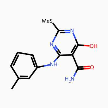 CSc1nc(O)c(C(N)=O)c(Nc2cccc(C)c2)n1